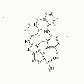 Cc1ccc(O)c(Cn2c(NC3CCN(Cc4ccccc4)CC3)nc3ccc(C(=O)O)cc32)n1